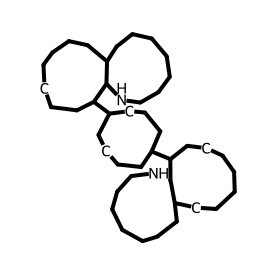 C1CCCNC2C(CCC1)CCCCCCCC2C1CCCCC(C2CCCCCCCC3CCCCCCCNC32)CCC1